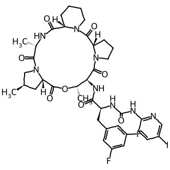 C[C@@H]1C[C@H]2C(=O)O[C@@H](C)[C@H](NC(=O)[C@H](Cc3cc(F)cc(F)c3)NC(=O)Nc3ccc(I)cn3)C(=O)N3CCC[C@H]3C(=O)N3CCCC[C@H]3C(=O)N[C@@H](C)C(=O)N2C1